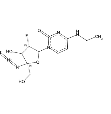 CCNc1ccn(C2O[C@@](CO)(N=[N+]=[N-])C(O)[C@@H]2F)c(=O)n1